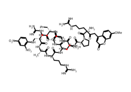 COc1ccc2c(CC(=O)[C@](N)(CCCNC(=N)N)C(=O)N3CCC[C@H]3C(=O)N[C@@H](CC(C)C)C(=O)NCC(=O)N[C@@H](CC(C)C)C(=O)N[C@@H](CNc3ccc([N+](=O)[O-])cc3[N+](=O)[O-])C(=O)N[C@@H](C)C(=O)N[C@H](CCCNC(=N)N)C(=O)N[C@H](CCC(=O)O)C(=O)N[C@H](CCCNC(=N)N)C(N)=O)cc(=O)oc2c1